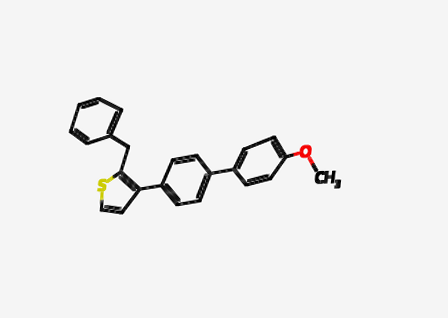 COc1ccc(-c2ccc(-c3ccsc3Cc3ccccc3)cc2)cc1